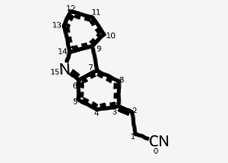 N#CCC=c1ccc2c(c1)-c1ccccc1N=2